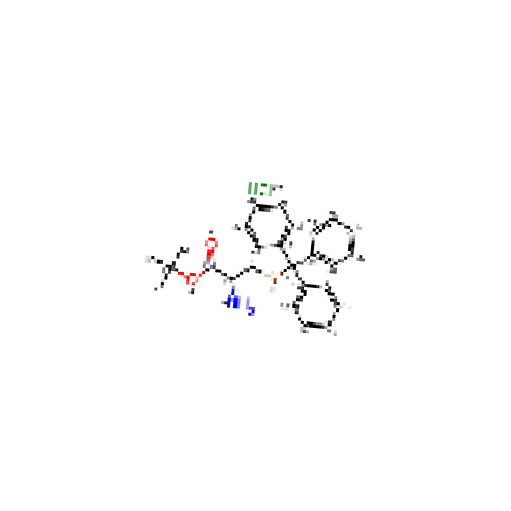 CC(C)(C)OC(=O)C(N)CSC(c1ccccc1)(c1ccccc1)c1ccccc1.Cl